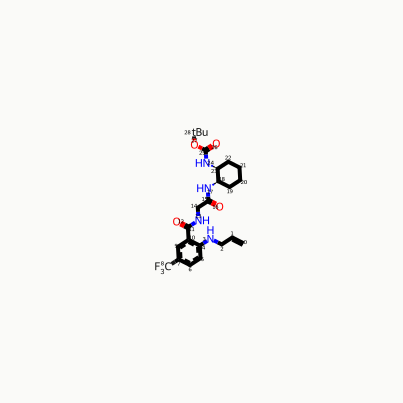 C=CCNc1ccc(C(F)(F)F)cc1C(=O)NCC(=O)N[C@H]1CCCC[C@H]1NC(=O)OC(C)(C)C